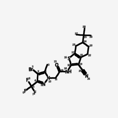 Cc1c(Br)c(C(F)(F)F)nn1CC(=O)Nc1sc2c(c1C#N)CCC(C(C)(C)C)C2